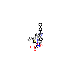 C=C(/N=C\C(=C/C)C1=CCC(C2CCCCC2)CC1)c1ccc(C[C@H](NC(=O)c2ccc(C(C)(C)C)s2)C(=O)N2CC(C(=O)O)C2)cc1